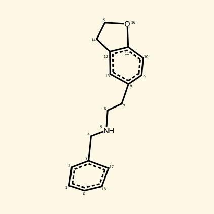 c1ccc(CNCCc2ccc3c(c2)CCO3)cc1